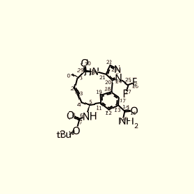 C[C@@H]1/C=C/C[C@H](NC(=O)OC(C)(C)C)c2cc(C(N)=O)cc(c2)-c2c(cnn2C(F)F)NC1=O